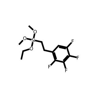 CCO[Si](CCc1cc(F)c(F)c(F)c1F)(OC)OC